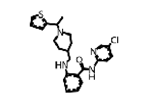 CC(c1cccs1)N1CCC(CNc2ccccc2C(=O)Nc2ccc(Cl)cn2)CC1